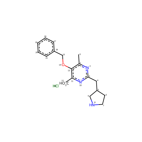 Cc1nc(CC2CCNC2)nc(C(=O)O)c1OCc1ccccc1.Cl